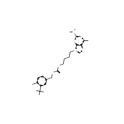 CN(C)c1nc(N)c2ncn(CCCCOC(=O)NCc3ccc(Cl)c(C(C)(C)F)c3)c2n1